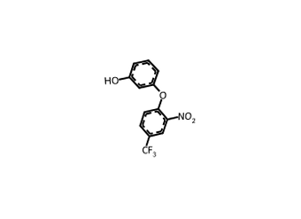 O=[N+]([O-])c1cc(C(F)(F)F)ccc1Oc1cccc(O)c1